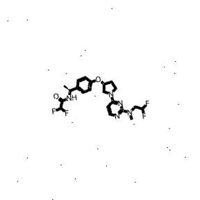 C[C@H](NC(=O)C(F)F)c1ccc(OC2CCN(c3ccnc(N(C)CC(F)F)n3)C2)cc1